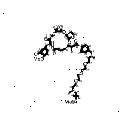 COc1ccc(C[C@H]2NC(=O)/C=C/C[C@@H]([C@H](C)[C@H]3O[C@@H]3c3ccc(CN(C)CCOCCOCCOCCN(C)CC(C)(C)SSC)cc3)OC(=O)[C@H](CC(C)C)OC(=O)C(C)(C)CNC2=O)cc1Cl